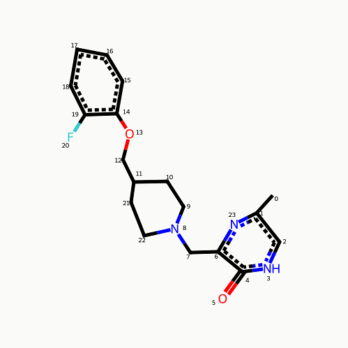 Cc1c[nH]c(=O)c(CN2CCC(COc3ccccc3F)CC2)n1